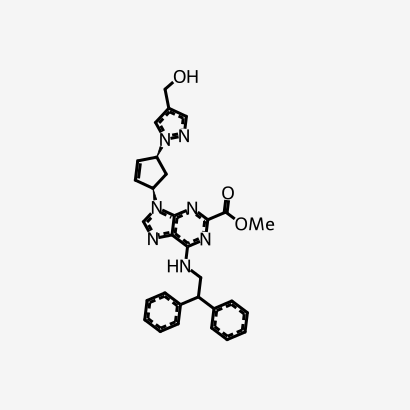 COC(=O)c1nc(NCC(c2ccccc2)c2ccccc2)c2ncn([C@H]3C=C[C@@H](n4cc(CO)cn4)C3)c2n1